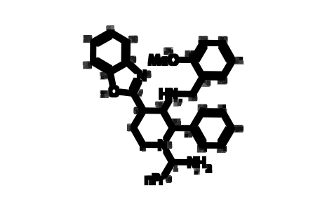 CCCC(N)N1CCC(c2nc3ccccc3o2)C(NCc2ccccc2OC)C1c1ccccc1